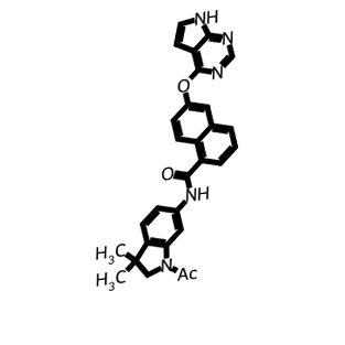 CC(=O)N1CC(C)(C)c2ccc(NC(=O)c3cccc4cc(Oc5ncnc6[nH]ccc56)ccc34)cc21